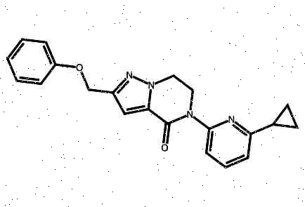 O=C1c2cc(COc3ccccc3)nn2CCN1c1cccc(C2CC2)n1